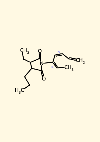 C=C/C=C\C(=C/C)N1C(=O)C(CC)C(CCC)C1=O